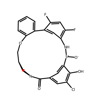 O=C1c2cc(Cl)c(O)c(c2)[S+]([O-])Nc2cc(c(F)cc2F)-c2ccccc2OCC2CN1C2